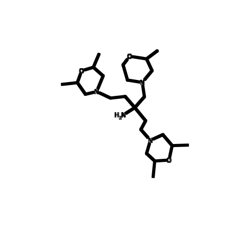 CC1CN(CC(N)(CCN2CC(C)OC(C)C2)CCN2CC(C)OC(C)C2)CCO1